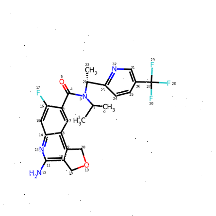 CC(C)N(C(=O)c1cc2c3c(c(N)nc2cc1F)COC3)[C@H](C)c1ccc(C(F)(F)F)cn1